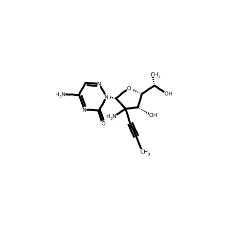 CC#CC1(N)[C@@H](O)[C@@H]([C@H](C)O)O[C@H]1n1ncc(N)nc1=O